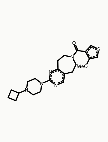 COc1cscc1C(=O)N1CCc2cnc(N3CCN(C4CCC4)CC3)nc2CC1